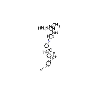 Cc1nc(Nc2cnc(/C=C/c3cccc(C(=O)Nc4ccc(CN5CCN(CCC6CC6)CC5)c(C(F)(F)F)c4)c3)cn2)cc(N2CCNCC2)n1